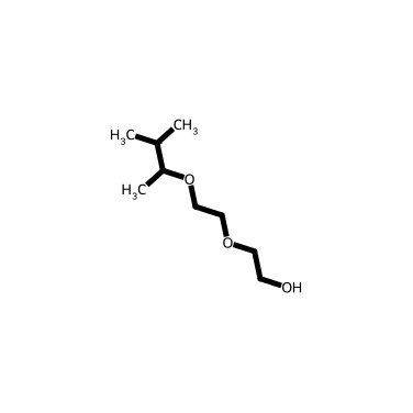 C[C](C)C(C)OCCOCCO